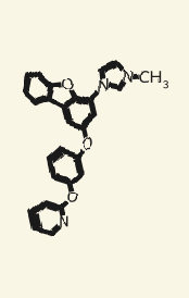 CN1C=CN(c2cc(Oc3cccc(Oc4ccccn4)c3)cc3c2oc2ccccc23)C1